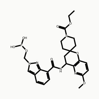 CCOC(=O)N1CCC2(CC1)CC(NC(=O)c1cccc3cn(COP(O)O)nc13)c1nc(OC)ccc1O2